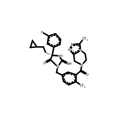 N=C1N[C@](CCC2CC2)(c2cccc(F)c2)C(=O)N1Cc1ccc(C(F)(F)F)c(C(=O)N2CCn3c(nnc3C(F)(F)F)C2)c1